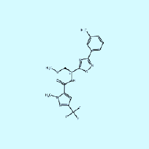 COC[C@H](NC(=O)c1cc(C(F)(F)F)nn1C)c1nc(-c2cccc(C)c2)no1